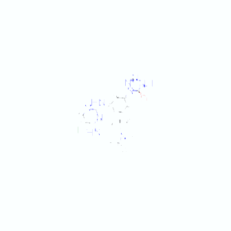 Cc1ccc(Nc2ncc(F)c(N[C@@H]3C[C@H]4CCCN4C(C)(C)C3)n2)cc1-n1nn[nH]c1=O